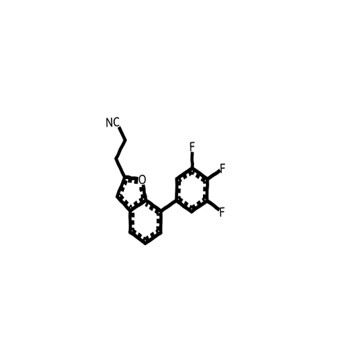 N#CCCc1cc2cccc(-c3cc(F)c(F)c(F)c3)c2o1